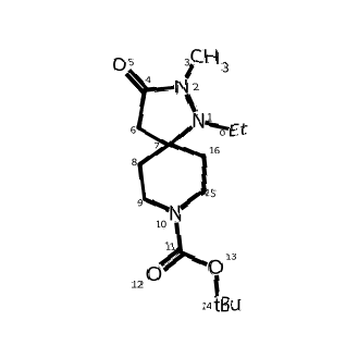 CCN1N(C)C(=O)CC12CCN(C(=O)OC(C)(C)C)CC2